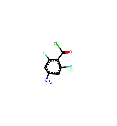 Cl.Nc1cc(F)c(C(=O)Cl)c(F)c1